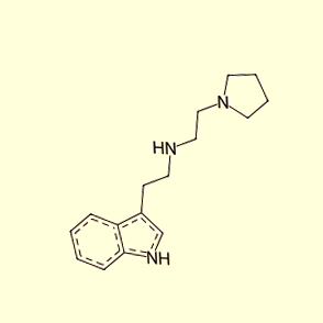 c1ccc2c(CCNCCN3CCCC3)c[nH]c2c1